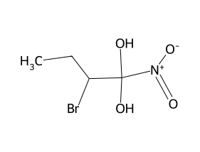 CCC(Br)C(O)(O)[N+](=O)[O-]